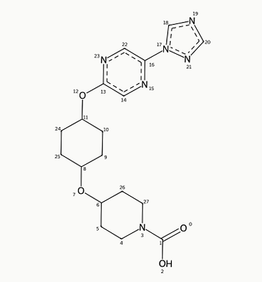 O=C(O)N1CCC(OC2CCC(Oc3cnc(-n4cncn4)cn3)CC2)CC1